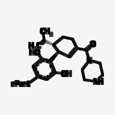 C=C(C)[C@@H]1CCC(C(=O)N2CCNCC2)=C[C@H]1c1c(O)cc(CCCCC)cc1O